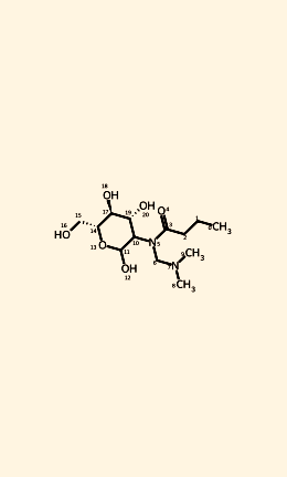 CCCC(=O)N(CN(C)C)C1C(O)O[C@H](CO)[C@@H](O)[C@@H]1O